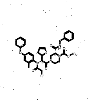 Cc1cc(OC2=CC=CCC2)ccc1N(C(=O)CCl)[C@@H](C(=O)N1CCN(C(=O)OC(C)(C)C)[C@@H](C(=O)NCc2ccccc2)C1)C1CC=CS1